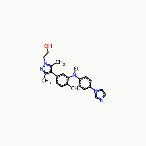 CCN(c1ccc(-n2ccnc2)cc1)c1cc(-c2c(C)nn(CCO)c2C)ccc1C